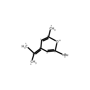 CCCCC1=CC(=C(C)C)C=C(C)O1